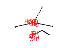 CC(C)CCCCCCCCCCCCCCC(=O)O[C@H]1[C@@H]([C@@H](CO)OC(=O)CCCCCCCCCCCCCCC(C)C)OC[C@@H]1OC(=O)CCCCCCCCCCCCCCC(C)C.CCCCCCCC/C=C\CCCCCCCC(=O)O[C@H](CO)[C@H]1OC[C@H](O)[C@H]1O